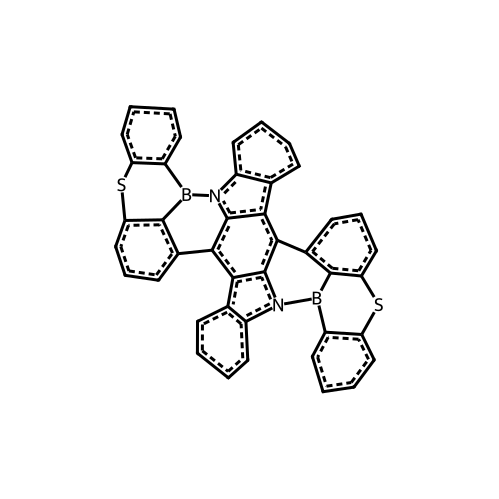 c1ccc2c(c1)Sc1cccc3c1B2n1c2ccccc2c2c4c5c(c-3c21)c1ccccc1n5B1c2ccccc2Sc2cccc-4c21